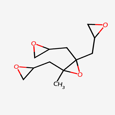 CC1(CC2CO2)OC1(CC1CO1)CC1CO1